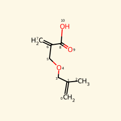 C=C(C)COCC(=C)C(=O)O